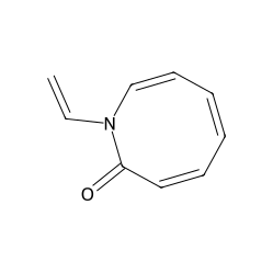 C=CN1C=CC=CC=CC1=O